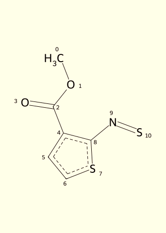 COC(=O)c1ccsc1N=S